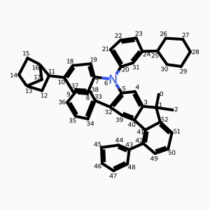 CC1(C)c2cc(N(c3ccc(C4CC5CCC4C5)cc3)c3cccc(C4CCCCC4)c3)c(-c3ccccc3)cc2-c2c(-c3ccccc3)cccc21